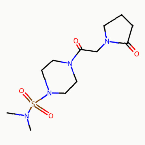 CN(C)S(=O)(=O)N1CCN(C(=O)CN2CCCC2=O)CC1